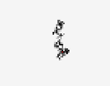 O=C(NCCn1cnc2cc(C(=O)N3C4CCC3CC(O)C4)ccc21)N1CCS(=O)(=O)CC1